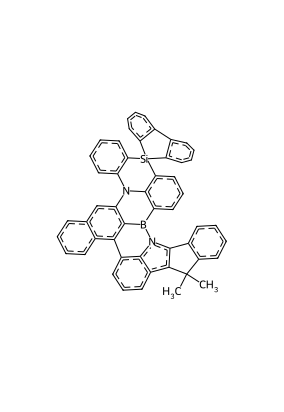 CC1(C)c2ccccc2-c2c1c1cccc3c1n2B1c2cccc4c2N(c2ccccc2[Si]42c4ccccc4-c4ccccc42)c2cc4ccccc4c-3c21